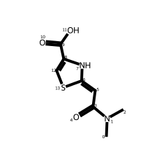 CN(C)C(=O)C=C1NC(C(=O)O)=CS1